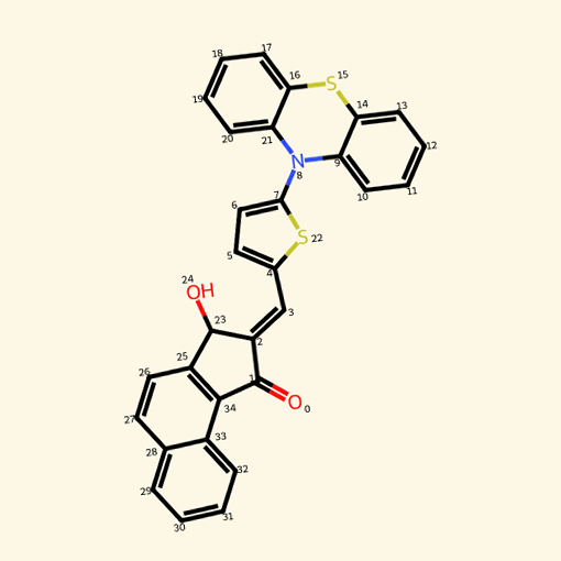 O=C1/C(=C/c2ccc(N3c4ccccc4Sc4ccccc43)s2)C(O)c2ccc3ccccc3c21